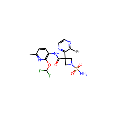 Cc1ccc(NC(=O)C2(c3nccnc3C(C)C)CN(S(N)(=O)=O)C2)c(OC(F)F)n1